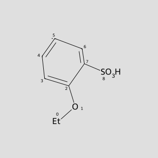 CCOc1cc[c]cc1S(=O)(=O)O